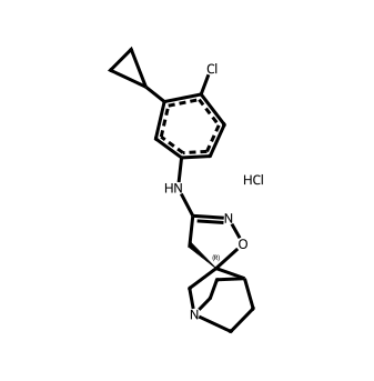 Cl.Clc1ccc(NC2=NO[C@@]3(C2)CN2CCC3CC2)cc1C1CC1